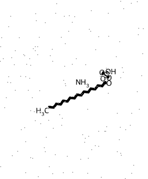 CCCCCCCCCCCCCCCCCC(=O)OS(=O)(=O)O.N